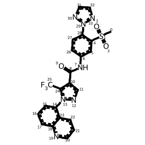 CS(=O)(=O)c1cc(NC(=O)c2cnn(-c3cccc4ncccc34)c2C(F)(F)F)ccc1-n1nccn1